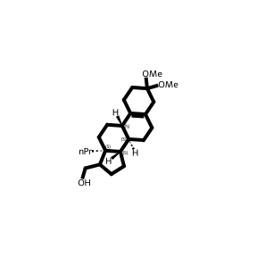 CCC[C@]12CC[C@@H]3C4=C(CC[C@H]3[C@@H]1CCC2CO)CC(OC)(OC)CC4